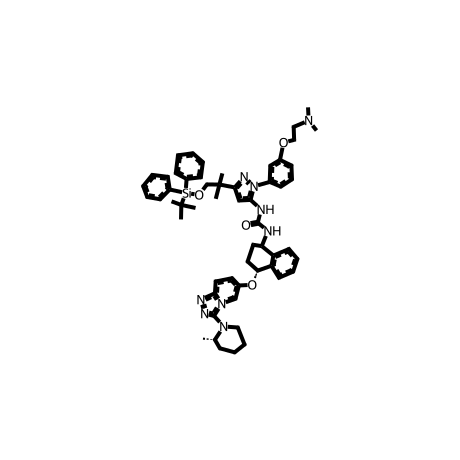 C[C@H]1CCCCN1c1nnc2ccc(O[C@@H]3CCC(NC(=O)Nc4cc(C(C)(C)CO[Si](c5ccccc5)(c5ccccc5)C(C)(C)C)nn4-c4cccc(OCCN(C)C)c4)c4ccccc43)cn12